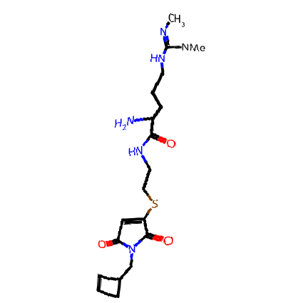 C/N=C(\NC)NCCCC(N)C(=O)NCCSC1=CC(=O)N(CC2CCC2)C1=O